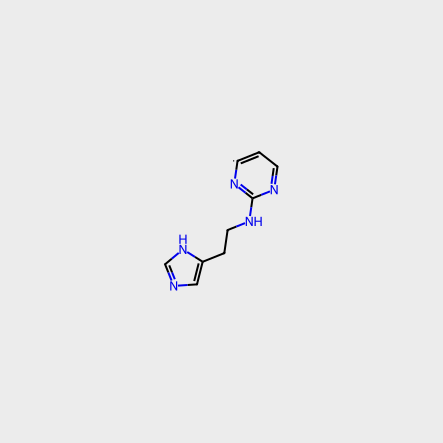 [c]1ccnc(NCCc2cnc[nH]2)n1